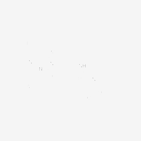 O=C(CN1CC(=O)Oc2ccccc21)NC1CCC(n2c(=O)c3cc(F)cnc3n(C3CCSCC3)c2=O)CC1